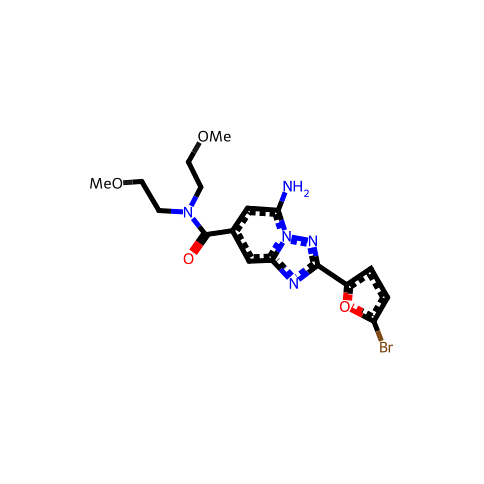 COCCN(CCOC)C(=O)c1cc(N)n2nc(-c3ccc(Br)o3)nc2c1